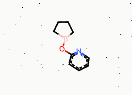 c1ccc(OB2CCCC2)nc1